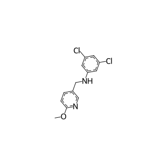 COc1ccc(CNc2cc(Cl)cc(Cl)c2)cn1